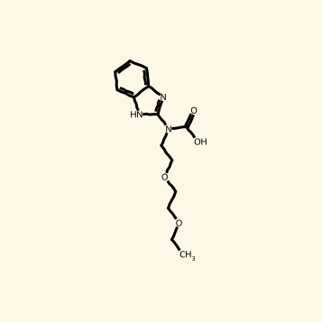 CCOCCOCCN(C(=O)O)c1nc2ccccc2[nH]1